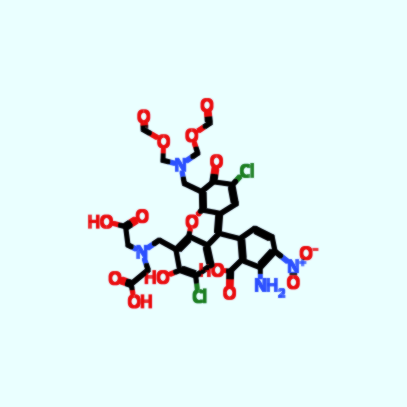 Nc1c([N+](=O)[O-])ccc(-c2c3cc(Cl)c(=O)c(CN(COC=O)COC=O)c-3oc3c(CN(CC(=O)O)CC(=O)O)c(O)c(Cl)cc23)c1C(=O)O